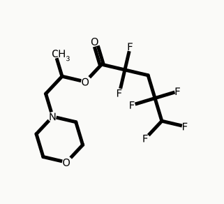 CC(CN1CCOCC1)OC(=O)C(F)(F)CC(F)(F)C(F)F